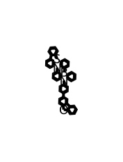 c1ccc2c(c1)B1c3ccccc3N(c3cccc4c3sc3ccccc34)c3cccc(c31)N2c1ccc(-c2ccc3oc4ccccc4c3c2)cc1